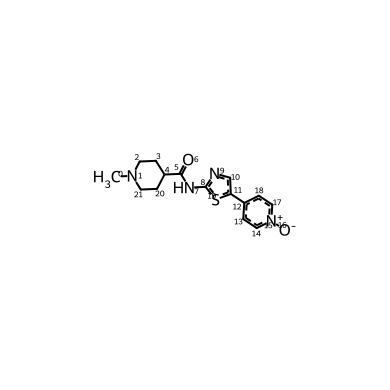 CN1CCC(C(=O)Nc2ncc(-c3cc[n+]([O-])cc3)s2)CC1